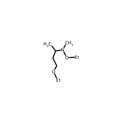 CCOCCC(C)N(C)OCC